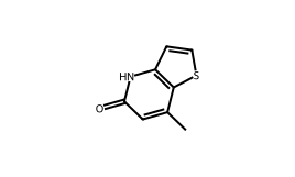 Cc1cc(=O)[nH]c2ccsc12